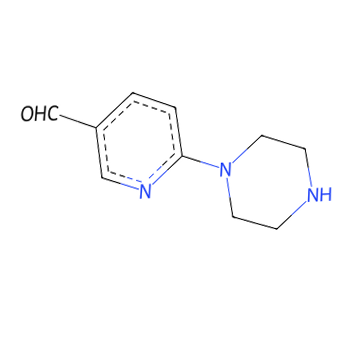 O=Cc1ccc(N2CCNCC2)nc1